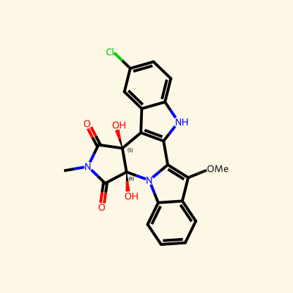 COc1c2n(c3ccccc13)[C@]1(O)C(=O)N(C)C(=O)[C@]1(O)c1c-2[nH]c2ccc(Cl)cc12